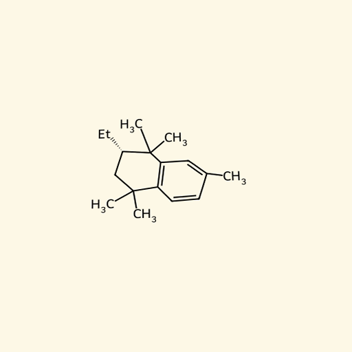 CC[C@H]1CC(C)(C)c2ccc(C)cc2C1(C)C